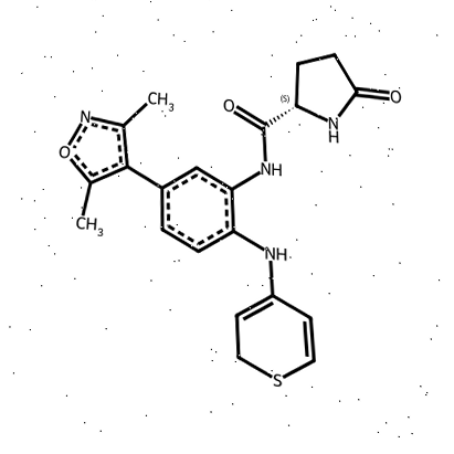 Cc1noc(C)c1-c1ccc(NC2=CCSC=C2)c(NC(=O)[C@@H]2CCC(=O)N2)c1